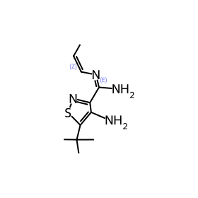 C/C=C\N=C(\N)c1nsc(C(C)(C)C)c1N